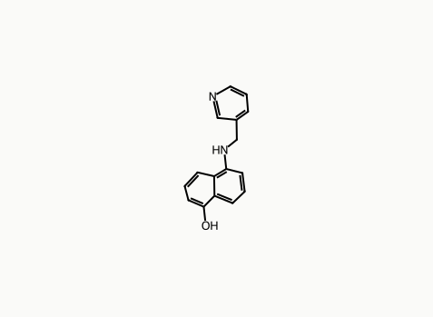 Oc1cccc2c(NCc3cccnc3)cccc12